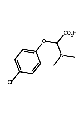 CN(C)C(Oc1ccc(Cl)cc1)C(=O)O